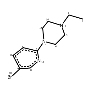 CCN1CCN(c2ccc(Br)cn2)CC1